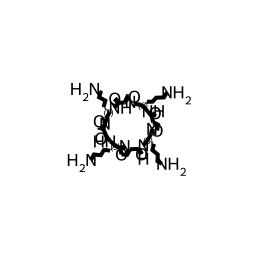 NCCCC[C@@H]1NC(=O)c2coc(n2)[C@H](CCCCN)NC(=O)c2coc(n2)[C@H](CCCCN)NC(=O)c2coc(n2)[C@H](CCCCN)NC(=O)c2coc1n2